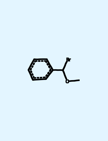 COC(Br)c1ccccc1